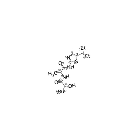 CCC(CC)c1cnc(NC(=O)C(C)NC(=O)C(O)C(C)(C)C)s1